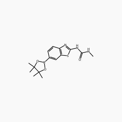 CNC(=O)Nc1nc2ccc(B3OC(C)(C)C(C)(C)O3)cc2s1